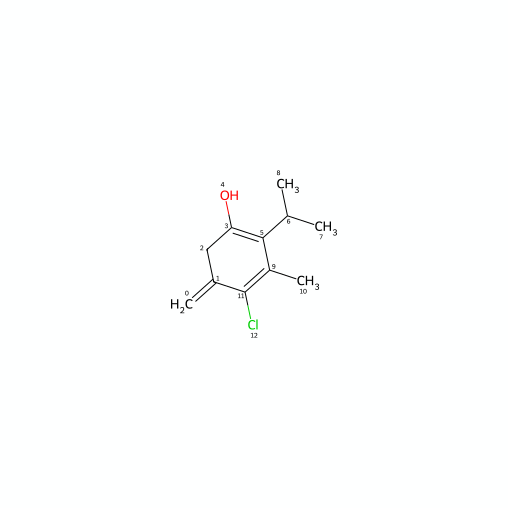 C=C1CC(O)=C(C(C)C)C(C)=C1Cl